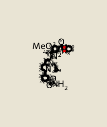 COc1cc(C(=O)N2CC3CCC2[C@@H]3N)cc2nc(-c3cc4ccc(-c5cccc(S(N)(=O)=O)c5)nc4n3CC3CC3)n(C)c12